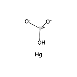 [Hg].[O-][I+2]([O-])O